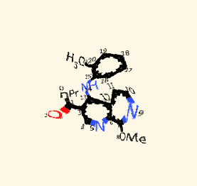 CCCC(=O)c1cnc2c(OC)nccc2c1Nc1ccccc1C